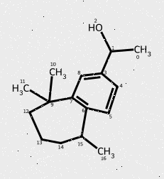 CC(O)c1ccc2c(c1)C(C)(C)CCCC2C